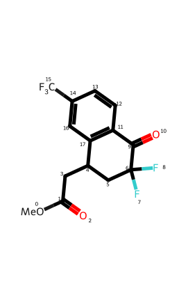 COC(=O)CC1CC(F)(F)C(=O)c2ccc(C(F)(F)F)cc21